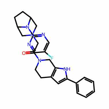 O=C(CN1CC2CCC(C1)N2c1ncc(F)cn1)N1CCc2cc(-c3ccccc3)[nH]c2C1